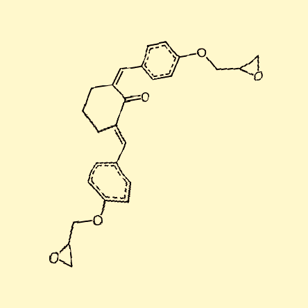 O=C1C(=Cc2ccc(OCC3CO3)cc2)CCCC1=Cc1ccc(OCC2CO2)cc1